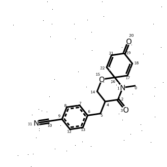 CN1C(=O)C(Cc2ccc(C#N)cc2)COC12C=CC(=O)C=C2